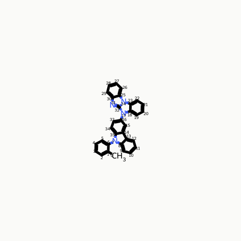 Cc1ccccc1-n1c2ccccc2c2cc(-n3c4ccccc4n4c5ccccc5nc34)ccc21